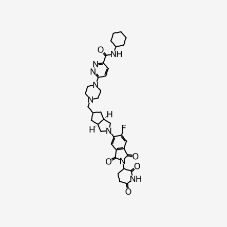 O=C1CCC(N2C(=O)c3cc(F)c(N4C[C@H]5CC(CN6CCN(c7ccc(C(=O)NC8CCCCC8)nn7)CC6)C[C@H]5C4)cc3C2=O)C(=O)N1